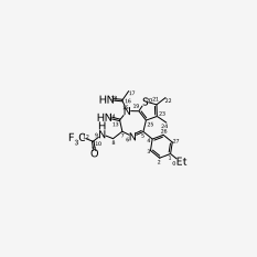 CCc1ccc(C2=NC(CNC(=O)C(F)(F)F)C(=N)N(C(C)=N)c3sc(C)c(C)c32)cc1